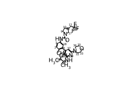 Cc1ccc(NC(=O)N2CC[C@@H](CC(F)(F)F)C2)cc1-c1cc(NC(C)C(C)O)nc(N2CCOCC2)c1